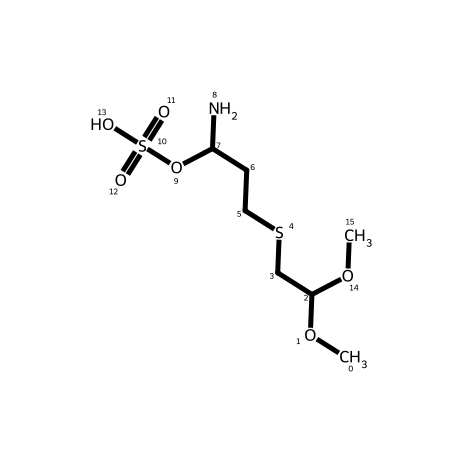 COC(CSCCC(N)OS(=O)(=O)O)OC